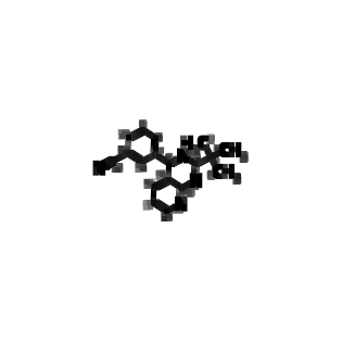 CC(C)(C)c1nc(-c2cccc(C#N)c2)c2cccnc2n1